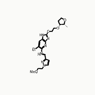 CCc1cc2[nH]c(OCCO[C@@H]3CCO[C@@H]3C)nc2nc1NCc1ccn(CCOC)n1